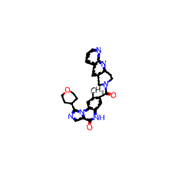 Cc1cc2c(cc1C(=O)N1CCc3nc4ncccc4cc3C1)[nH]c(=O)c1cnc(C3CCOCC3)n12